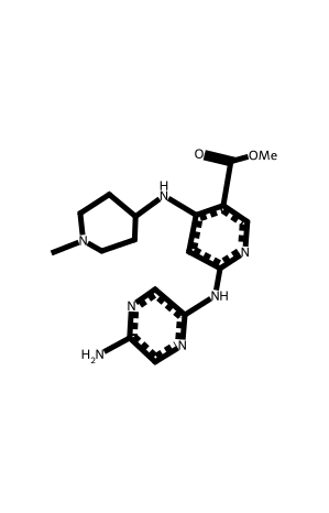 COC(=O)c1cnc(Nc2cnc(N)cn2)cc1NC1CCN(C)CC1